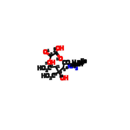 N.O=C(O)C(=O)O.O=C(O)CC(O)(CC(=O)O)C(=O)O.[Fe].[Fe].[NaH]